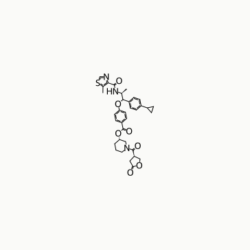 Cc1scnc1C(=O)N[C@@H](C)[C@H](Oc1ccc(C(=O)O[C@H]2CCCN(C(=O)[C@H]3COC(=O)C3)C2)cc1)c1ccc(C2CC2)cc1